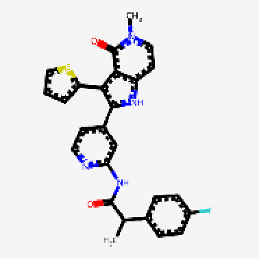 CC(C(=O)Nc1cc(-c2[nH]c3ccn(C)c(=O)c3c2-c2cccs2)ccn1)c1ccc(F)cc1